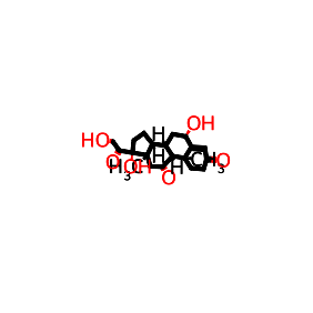 C[C@]12CCC(=O)C=C1[C@H](O)C[C@@H]1[C@@H]2C(=O)C[C@@]2(C)[C@H]1CC[C@]2(O)C(=O)CO